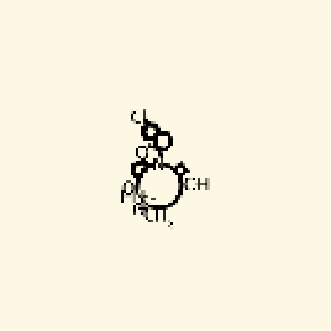 CC1CCCCC(O)C2CCC2CN2CC3(CCCc4cc(Cl)ccc43)COc3ccc(cc32)C(=O)N[S+]1[O-]